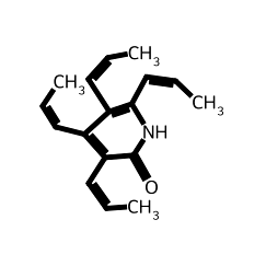 C/C=C\c1[nH]c(=O)c(/C=C\C)c(/C=C\C)c1/C=C\C